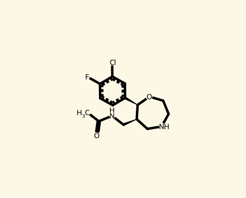 CC(=O)NC[C@@H]1CNCCO[C@@H]1c1ccc(F)c(Cl)c1